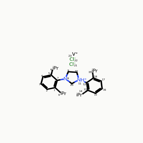 CC(C)c1cccc(C(C)C)c1N1CC[NH+](c2c(C(C)C)cccc2C(C)C)C1.[Cl-].[Cl-].[V+]